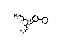 NCC(=O)N[C@H](Cc1cccc(C2CCCCC2)c1)C(=O)ON